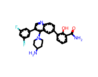 NC(=O)c1cccc(-c2ccc3ncc(-c4cc(F)cc(F)c4)c(N4CCC(N)CC4)c3c2)c1O